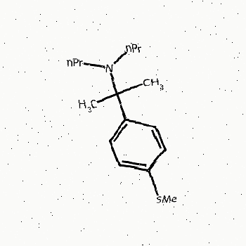 CCCN(CCC)C(C)(C)c1ccc(SC)cc1